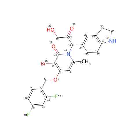 Cc1cc(OCc2ccc(F)cc2F)c(Br)c(=O)n1C(C(=O)CO)c1ccc2c(c1)CCN2